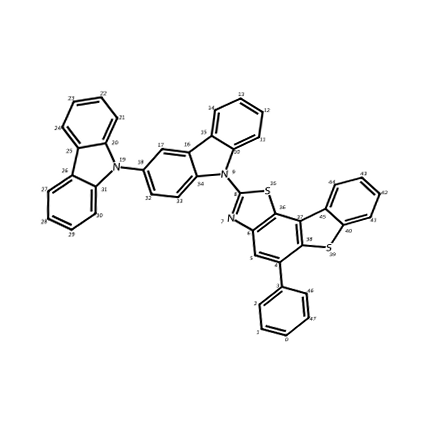 c1ccc(-c2cc3nc(-n4c5ccccc5c5cc(-n6c7ccccc7c7ccccc76)ccc54)sc3c3c2sc2ccccc23)cc1